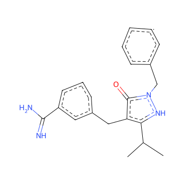 CC(C)c1[nH]n(Cc2c[c]ccc2)c(=O)c1Cc1cccc(C(=N)N)c1